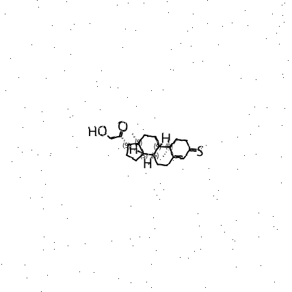 C[C@]12CC[C@H]3[C@@H](CCC4=CC(=S)CC[C@@]43C)[C@@H]1CC[C@@H]2C(=O)CO